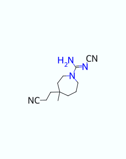 CC1(CCC#N)CCCN(/C(N)=N/C#N)CC1